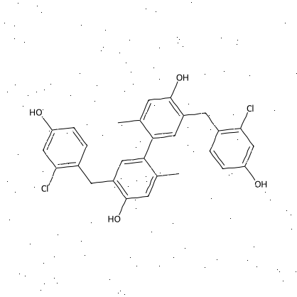 Cc1cc(O)c(Cc2ccc(O)cc2Cl)cc1-c1cc(Cc2ccc(O)cc2Cl)c(O)cc1C